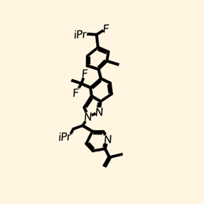 C=C(C)c1ccc(C(CC(C)C)n2cc3c(C(C)(F)F)c(-c4ccc(C(F)C(C)C)cc4C)ccc3n2)cn1